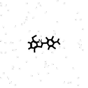 CCc1c(C)c(C)c(C)c2c1N=C(c1c(C)c(C)c(C(C)C)c(C)c1C)C2